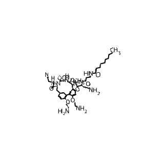 CCCCCCCCCC(=O)NCCC(=O)N[C@@H](CCN)C(=O)N(C)[C@@H]1C(=O)N[C@@H](C)C(=O)N[C@H](C(=O)NCC#N)Cc2ccc(OCCN)c(c2)-c2cc1ccc2OCCN